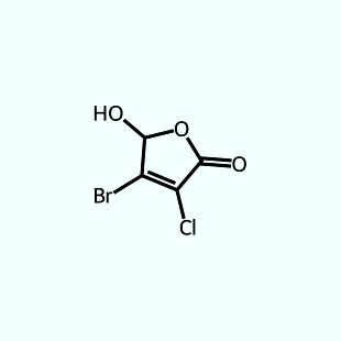 O=C1OC(O)C(Br)=C1Cl